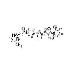 O=C(COc1nccc(C(F)(F)F)n1)N1CCC(c2nc(C3=NOC(c4c(O)cccc4Cl)C3)cs2)CC1